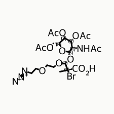 CC(=O)N[C@H]1[C@H](O[C@@H](OCCOCCN=[N+]=[N-])[C@@](C)(Br)C(=O)O)O[C@H](COC(C)=O)[C@@H](OC(C)=O)[C@@H]1OC(C)=O